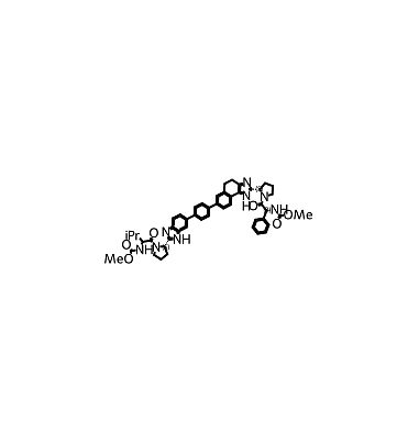 COC(=O)NC(C(=O)N1CCC[C@H]1c1nc2ccc(-c3ccc(-c4ccc5c(c4)CCc4nc([C@@H]6CCCN6C(=O)[C@H](NC(=O)OC)c6ccccc6)[nH]c4-5)cc3)cc2[nH]1)C(C)C